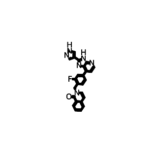 O=c1c2ccccc2ccn1Cc1ccc(-c2ccnc3[nH]c(-c4cn[nH]c4)nc23)cc1F